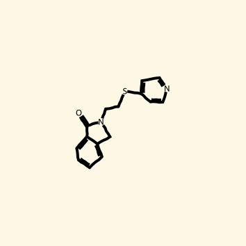 O=C1c2ccccc2CN1CCSc1ccncc1